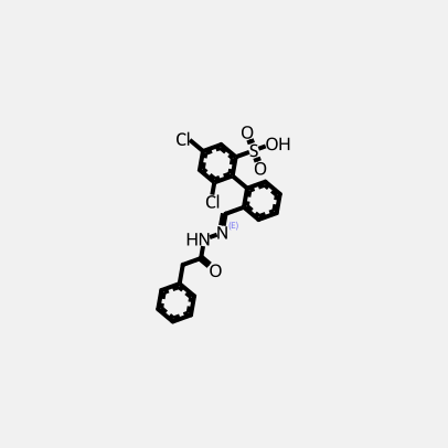 O=C(Cc1ccccc1)N/N=C/c1ccccc1-c1c(Cl)cc(Cl)cc1S(=O)(=O)O